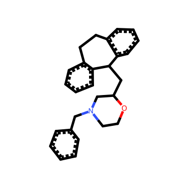 c1ccc(CN2CCOC(CC3c4ccccc4CCc4ccccc43)C2)cc1